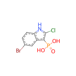 O=P(O)(O)c1c(Cl)[nH]c2ccc(Br)cc12